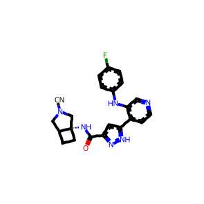 N#CN1CC2CC[C@]2(NC(=O)c2cc(-c3ccncc3Nc3ccc(F)cc3)[nH]n2)C1